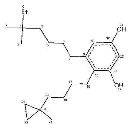 CCC(C)(C)CCCCc1cc(O)cc(O)c1CCCCC1(C)CC1